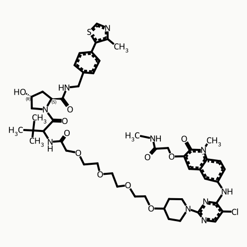 CNC(=O)COc1cc2cc(Nc3nc(N4CCC(OCCOCCOCCOCC(=O)NC(C(=O)N5C[C@H](O)C[C@H]5C(=O)NCc5ccc(-c6scnc6C)cc5)C(C)(C)C)CC4)ncc3Cl)ccc2n(C)c1=O